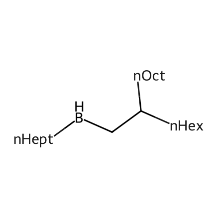 CCCCCCCBCC(CCCCCC)CCCCCCCC